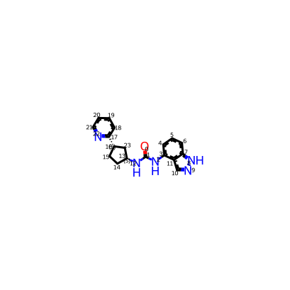 O=C(Nc1cccc2[nH]ncc12)N[C@H]1CC[C@H](c2ccccn2)C1